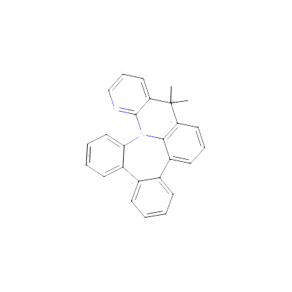 CC1(C)c2cccnc2N2c3ccccc3-c3ccccc3-c3cccc1c32